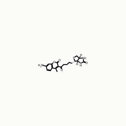 Cc1c(C(=O)CCCC[C@@H]2SC[C@@H]3NC(=O)N[C@@H]32)c(=O)oc2cc(N)ccc12